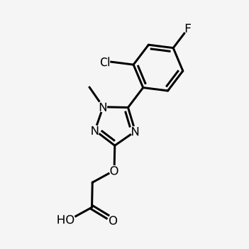 Cn1nc(OCC(=O)O)nc1-c1ccc(F)cc1Cl